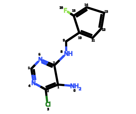 Nc1c(Cl)ncnc1NCc1ccccc1F